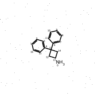 N.c1ccc(C2(c3ccccc3)CCC2)cc1